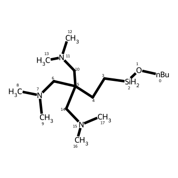 CCCCO[SiH2]CCC(CN(C)C)(CN(C)C)CN(C)C